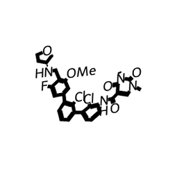 COc1cc(-c2cccc(-c3cccc(NC(=O)c4cn(C)c(=O)n(C)c4=O)c3Cl)c2Cl)cc(F)c1CN[C@@H]1CCOC1